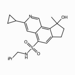 CC(C)CNS(=O)(=O)c1cc2c(c3cnc(C4CC4)cc13)C(C)(O)CC2